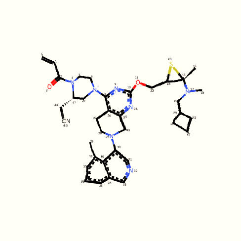 C=CC(=O)N1CCN(c2nc(OCC3S[C@]3(C)N(C)CC3CCC3)nc3c2CCN(c2cncc4cccc(C)c24)C3)C[C@@H]1CC#N